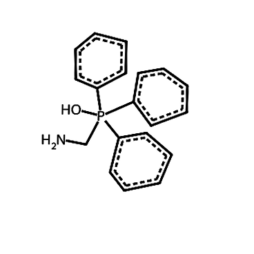 NCP(O)(c1ccccc1)(c1ccccc1)c1ccccc1